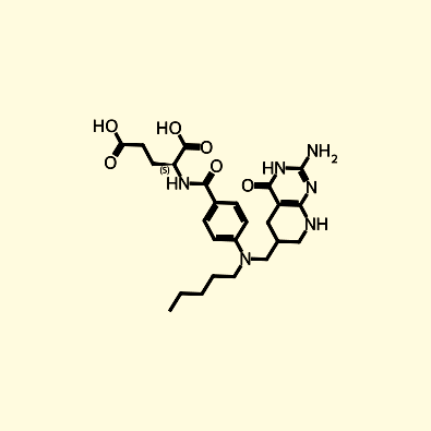 CCCCCN(CC1CNc2nc(N)[nH]c(=O)c2C1)c1ccc(C(=O)N[C@@H](CCC(=O)O)C(=O)O)cc1